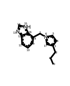 CCCc1ccn(Cc2cccc3nc[nH]c23)c1